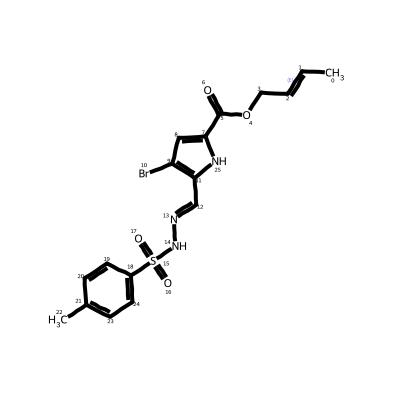 C/C=C/COC(=O)c1cc(Br)c(C=NNS(=O)(=O)c2ccc(C)cc2)[nH]1